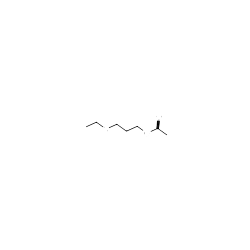 [CH2]CSCCCOC(C)=O